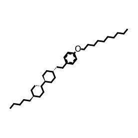 CCCCCCCCCCOc1ccc(CC[C@H]2CC[C@H]([C@H]3CC[C@H](CCCCC)CC3)CC2)cc1